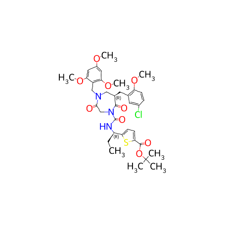 CC[C@@H](NC(=O)N1CC(=O)N(Cc2c(OC)cc(OC)cc2OC)C[C@@H](Cc2cc(Cl)ccc2OC)C1=O)c1ccc(C(=O)OC(C)(C)C)s1